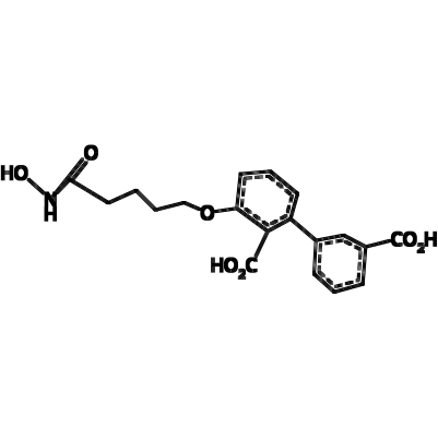 O=C(CCCCOc1cccc(-c2cccc(C(=O)O)c2)c1C(=O)O)NO